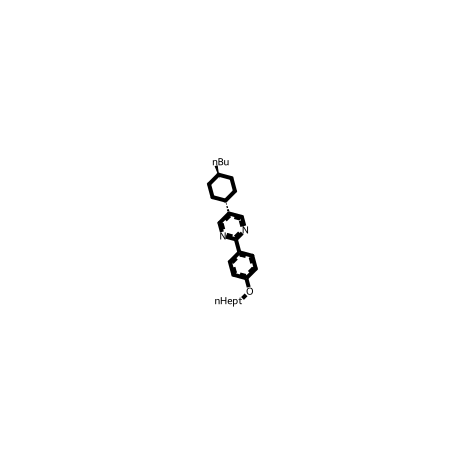 CCCCCCCOc1ccc(-c2ncc([C@H]3CC[C@H](CCCC)CC3)cn2)cc1